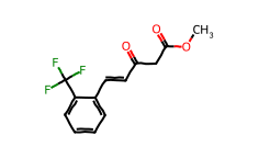 COC(=O)CC(=O)C=Cc1ccccc1C(F)(F)F